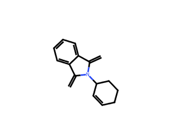 C=c1c2ccccc2c(=C)n1C1C=CCCC1